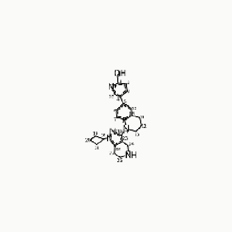 Oc1ccc(-c2ccc3c(c2)CCCN3c2nn(C3CCC3)c3c2CNCC3)cn1